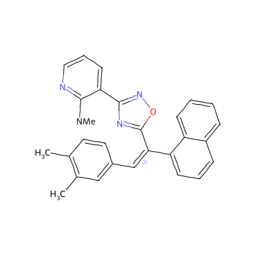 CNc1ncccc1-c1noc(/C(=C\c2ccc(C)c(C)c2)c2cccc3ccccc23)n1